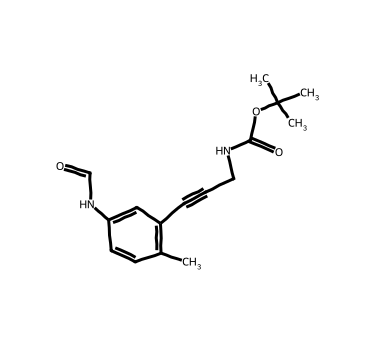 Cc1ccc(NC=O)cc1C#CCNC(=O)OC(C)(C)C